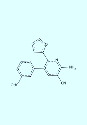 N#Cc1cc(-c2cccc(C=O)c2)c(-c2ccco2)nc1N